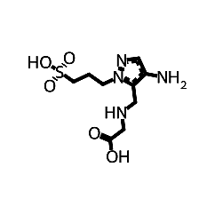 Nc1cnn(CCCS(=O)(=O)O)c1CNCC(=O)O